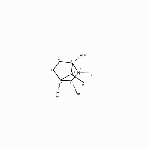 C[C@@H]1[C@H]2CC[C@@H](N1C)N2C